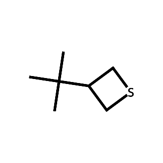 CC(C)(C)C1CSC1